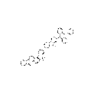 CC1(C)c2cc(-c3ccc4c(c3)C(C)(C)c3ccc5c(ccc6c7ccccc7sc56)c3-4)ccc2-c2ccc(-c3c4ccccc4c(-c4ccccc4)c4ccccc34)cc21